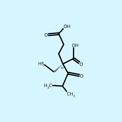 CC(C)C(=O)[C@@](CS)(CCC(=O)O)C(=O)O